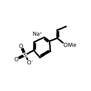 CC=C(OC)c1ccc(S(=O)(=O)[O-])cc1.[Na+]